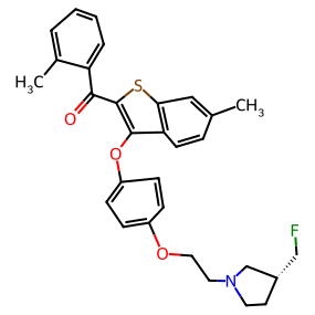 Cc1ccc2c(Oc3ccc(OCCN4CC[C@@H](CF)C4)cc3)c(C(=O)c3ccccc3C)sc2c1